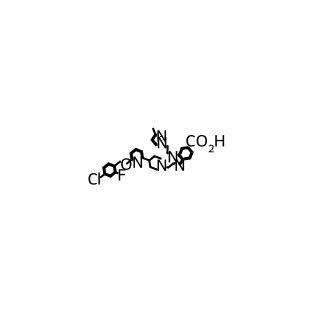 Cc1ccn(CCn2c(CN3CCC(c4cccc(OCc5ccc(Cl)cc5F)n4)CC3)nc3ccc(C(=O)O)cc32)n1